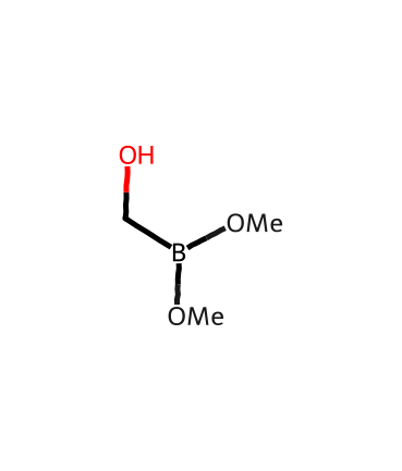 COB(CO)OC